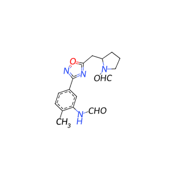 Cc1ccc(-c2noc(CC3CCCN3C=O)n2)cc1NC=O